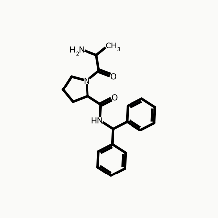 CC(N)C(=O)N1CCCC1C(=O)NC(c1ccccc1)c1ccccc1